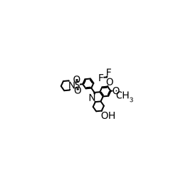 COc1cc2c(cc1OC(F)F)C(c1cccc(S(=O)(=O)N3CCCCC3)c1)=NC1CCC(O)CC21